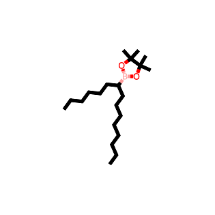 CCCCCCCCC(CCCCCC)B1OC(C)(C)C(C)(C)O1